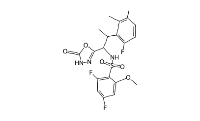 COc1cc(F)cc(F)c1S(=O)(=O)NC(c1n[nH]c(=O)o1)C(C)c1c(F)ccc(C)c1C